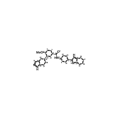 COc1ccc(C(=O)Nc2ccc(-c3nc4ccccc4[nH]3)cc2)cc1-c1ccc2[nH]ncc2c1